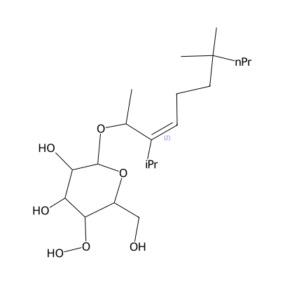 CCCC(C)(C)CC/C=C(/C(C)C)C(C)OC1OC(CO)C(OO)C(O)C1O